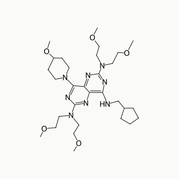 COCCN(CCOC)c1nc(N2CCC(OC)CC2)c2nc(N(CCOC)CCOC)nc(NCC3CCCC3)c2n1